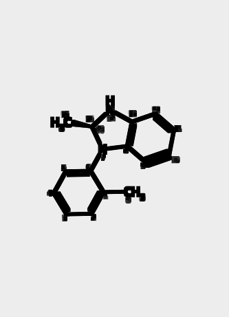 Cc1ccccc1N1c2c#cccc2N[C@@H]1C